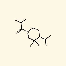 CC(C)C(=O)N1CCC(C(C)C)C(F)(F)C1